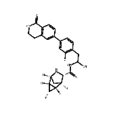 C[C@H]1[C@H]2[C@H]3C[C@H](N[C@@H]3C(=O)NC(C#N)Cc3ccc(-c4ccc5c(c4)CCNC5=O)cc3F)[C@@H]12